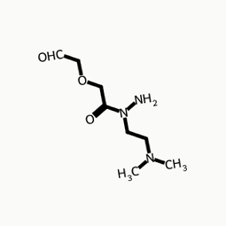 CN(C)CCN(N)C(=O)COCC=O